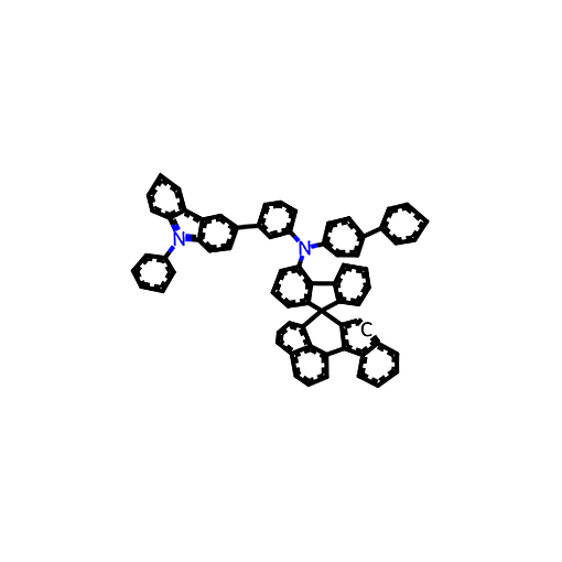 c1ccc(-c2ccc(N(c3cccc(-c4ccc5c(c4)c4ccccc4n5-c4ccccc4)c3)c3cccc4c3-c3ccccc3C43c4ccc5ccccc5c4-c4cccc5cccc3c45)cc2)cc1